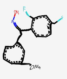 COc1cccc(C(=NO)c2ccc(F)cc2F)c1